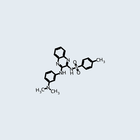 Cc1ccc(S(=O)(=O)Nc2nc3ccccc3nc2Nc2cccc(N(C)C)c2)cc1